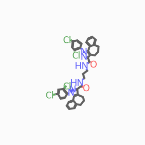 O=C(NCCCNC(=O)c1nn(-c2ccc(Cl)cc2Cl)c2c1CCCc1ccccc1-2)c1nn(-c2ccc(Cl)cc2Cl)c2c1CCCc1ccccc1-2